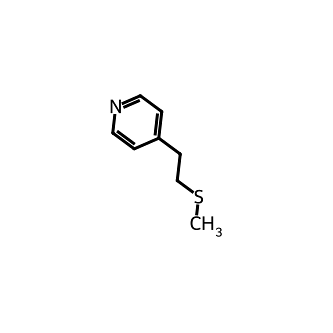 CSCCc1ccncc1